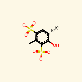 Cc1c(S(=O)(=O)[O-])ccc(O)c1S(=O)(=O)[O-].[K+].[K+]